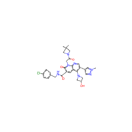 Cn1cc(-c2cnc3c(cc(C(=O)NCc4ccc(Cl)cc4)c(=O)n3CC(=O)N3CC(C)(C)C3)c2N2CC(O)C2)cn1